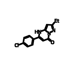 CCc1cc2[nH]c(-c3ccc(Cl)cc3)cc(=O)n2n1